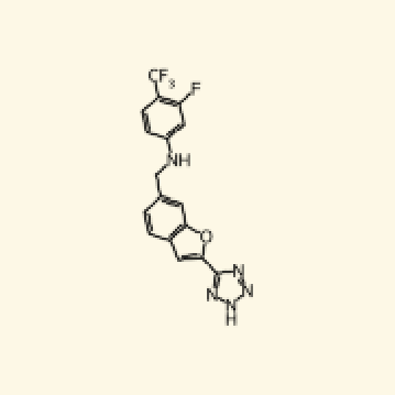 Fc1cc(NCc2ccc3cc(-c4nn[nH]n4)oc3c2)ccc1C(F)(F)F